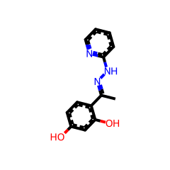 C/C(=N\Nc1ccccn1)c1ccc(O)cc1O